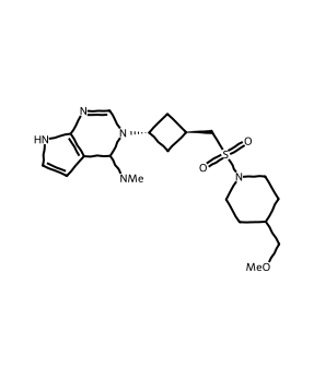 CNC1c2cc[nH]c2N=CN1[C@H]1C[C@H](CS(=O)(=O)N2CCC(COC)CC2)C1